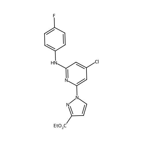 CCOC(=O)c1ccn(-c2cc(Cl)cc(Nc3ccc(F)cc3)n2)n1